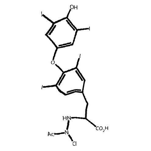 CC(=O)N(Cl)NC(Cc1cc(I)c(Oc2cc(I)c(O)c(I)c2)c(I)c1)C(=O)O